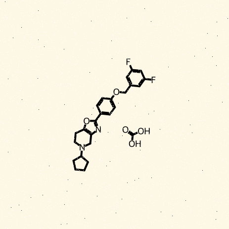 Fc1cc(F)cc(COc2ccc(-c3nc4c(o3)CCN(C3CCCC3)C4)cc2)c1.O=C(O)O